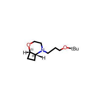 CC(C)(C)OCCCN1CCO[C@H]2CC[C@H]21